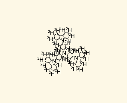 [2H]c1c([2H])c(-n2c3c([2H])c([2H])c([2H])c([2H])c3c3c([2H])c([2H])c([2H])c([2H])c32)c([2H])c([2H])c1N(c1c([2H])c([2H])c(-n2c3c([2H])c([2H])c([2H])c([2H])c3c3c([2H])c([2H])c([2H])c([2H])c32)c([2H])c1[2H])c1c([2H])c([2H])c(-n2c3c([2H])c([2H])c([2H])c([2H])c3c3c([2H])c([2H])c([2H])c([2H])c32)c(C)c1[2H]